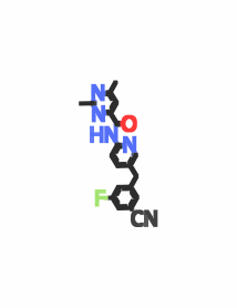 Cc1cc(C(=O)Nc2ccc(Cc3cc(F)cc(C#N)c3)cn2)nc(C)n1